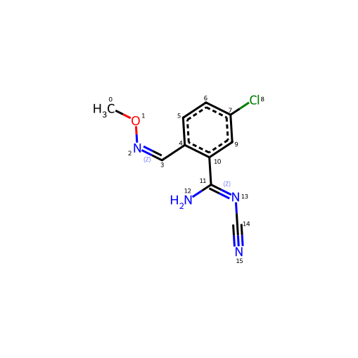 CO/N=C\c1ccc(Cl)cc1/C(N)=N/C#N